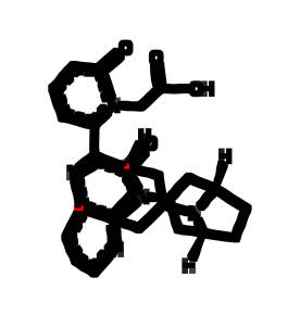 O=C(O)Cn1c(-c2nc3ccccc3n([C@@H]3C[C@H]4CC[C@@H](C3)N4C3C[C@H]4CCC[C@@H](C3)C4)c2=O)cccc1=O